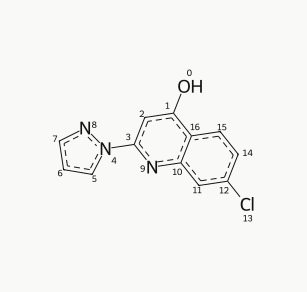 Oc1cc(-n2cccn2)nc2cc(Cl)ccc12